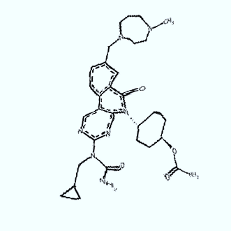 CN1CCN(Cc2ccc3c(c2)c(=O)n([C@H]2CC[C@H](OC(N)=O)CC2)c2nc(N(CC4CC4)C(N)=O)ncc32)CC1